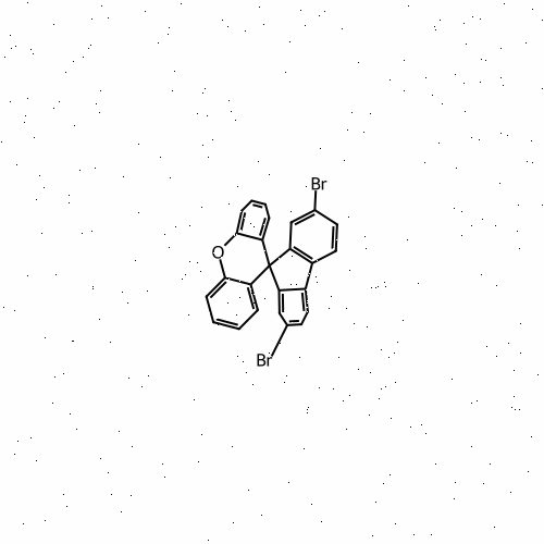 Brc1ccc2c(c1)C1(c3ccccc3Oc3ccccc31)c1cc(Br)ccc1-2